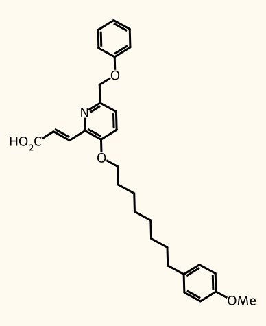 COc1ccc(CCCCCCCCOc2ccc(COc3ccccc3)nc2C=CC(=O)O)cc1